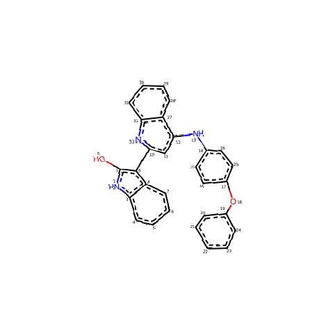 Oc1[nH]c2ccccc2c1-c1cc(Nc2ccc(Oc3ccccc3)cc2)c2ccccc2n1